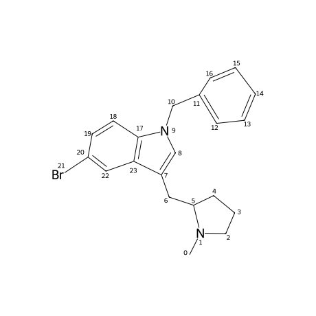 CN1CCCC1Cc1cn(Cc2ccccc2)c2ccc(Br)cc12